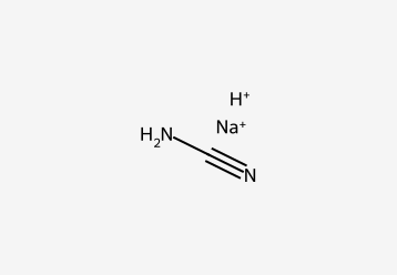 N#CN.[H+].[Na+]